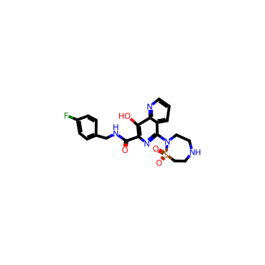 O=C(NCc1ccc(F)cc1)c1nc(N2CCNCCS2(=O)=O)c2cccnc2c1O